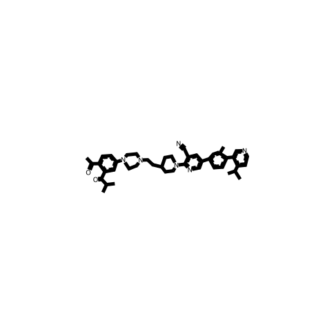 CC(=O)c1ccc(N2CCN(CCC3CCN(c4ncc(-c5ccc(-c6cnccc6C(C)C)c(C)c5)cc4C#N)CC3)CC2)cc1C(=O)C(C)C